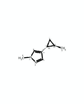 C[C@@H]1C[C@H]1c1cnn(C)c1